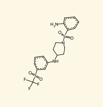 Nc1ccccc1S(=O)(=O)N1CCC(Nc2cccc(S(=O)(=O)C(F)(F)F)c2)CC1